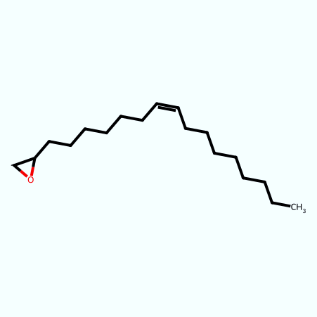 CCCCCCCC/C=C\CCCCCCC1[CH]O1